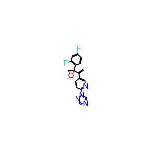 C=C(c1ccc(-n2cncn2)nc1)C1(c2ccc(F)cc2F)CO1